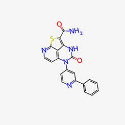 NC(=O)c1sc2nccc3c2c1NC(=O)N3c1ccnc(-c2ccccc2)c1